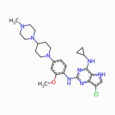 COc1cc(N2CCC(N3CCN(C)CC3)CC2)ccc1Nc1nc(NC2CC2)c2[nH]cc(Cl)c2n1